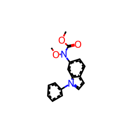 COC(=O)N(OC)c1ccc2ccn(-c3ccccc3)c2c1